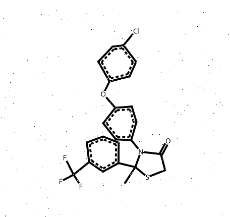 CC1(c2cccc(C(F)(F)F)c2)SCC(=O)N1c1ccc(Oc2ccc(Cl)cc2)cc1